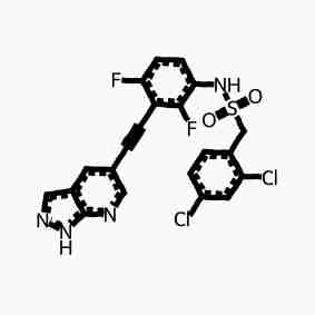 O=S(=O)(Cc1ccc(Cl)cc1Cl)Nc1ccc(F)c(C#Cc2cnc3[nH]ncc3c2)c1F